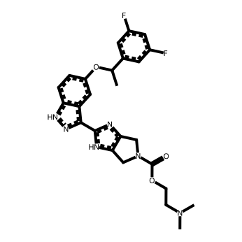 CC(Oc1ccc2[nH]nc(-c3nc4c([nH]3)CN(C(=O)OCCN(C)C)C4)c2c1)c1cc(F)cc(F)c1